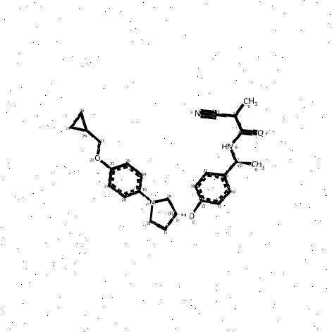 CC(C#N)C(=O)N[C@@H](C)c1ccc(O[C@@H]2CCN(c3ccc(OCC4CC4)cc3)C2)cc1